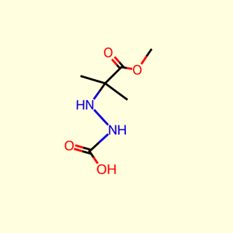 COC(=O)C(C)(C)NNC(=O)O